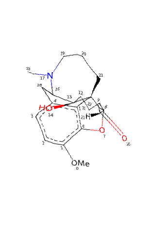 COc1ccc2c3c1O[C@H]1C(=O)CC[C@@]4(O)C(C2)N(C)CCC[C@]314